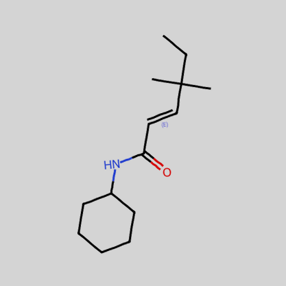 CCC(C)(C)/C=C/C(=O)NC1CCCCC1